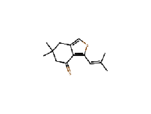 CC(C)=Cc1scc2c1C(=S)CC(C)(C)C2